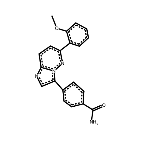 COc1ccccc1-c1ccc2ncc(-c3ccc(C(N)=O)cc3)n2n1